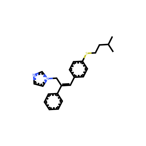 CC(C)CCSc1ccc(C=C(Cn2ccnc2)c2ccccc2)cc1